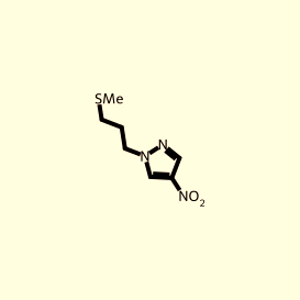 CSCCCn1cc([N+](=O)[O-])cn1